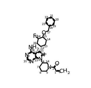 C=CC(=O)N1CCC[C@@H](n2nc([C@H]3CCC(OCc4ccccc4)C(F)C3)c3c(N)ncnc32)C1